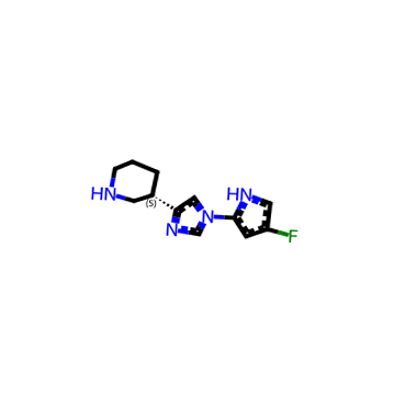 Fc1c[nH]c(-n2cnc([C@H]3CCCNC3)c2)c1